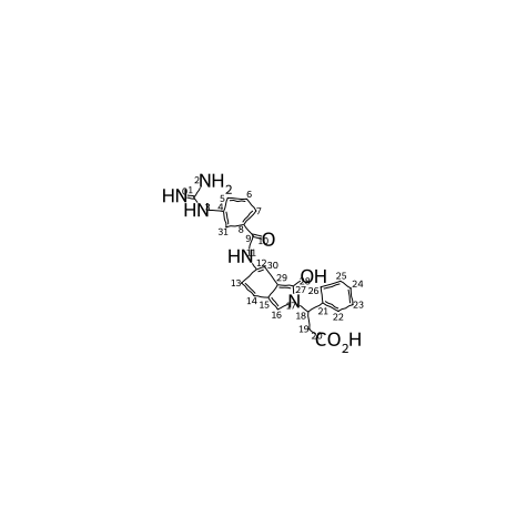 N=C(N)Nc1cccc(C(=O)Nc2ccc3cn(C(CC(=O)O)c4ccccc4)c(O)c3c2)c1